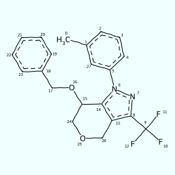 Cc1cccc(-n2nc(C(F)(F)F)c3c2C(OCc2ccccc2)COC3)c1